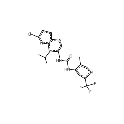 Cc1cnc(C(F)(F)F)cc1NC(=O)Nc1cnc2ccc(Cl)nc2c1C(C)C